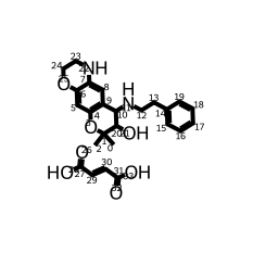 CC1(C)Oc2cc3c(cc2C(NCCc2ccccc2)C1O)NCCO3.O=C(O)C=CC(=O)O